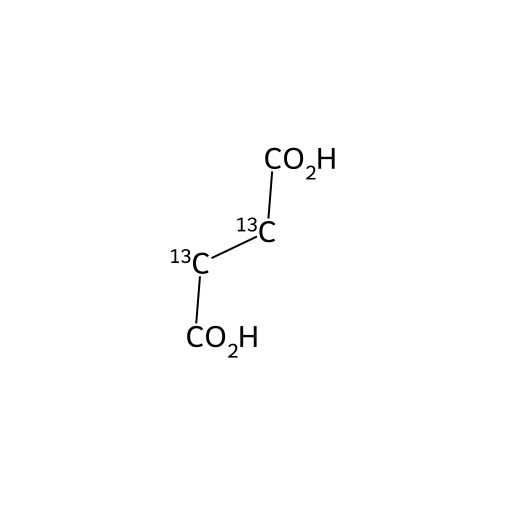 O=[13C](O)[13CH2][13CH2][13C](=O)O